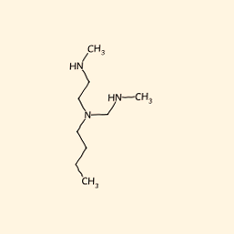 CCCCN(CCNC)CNC